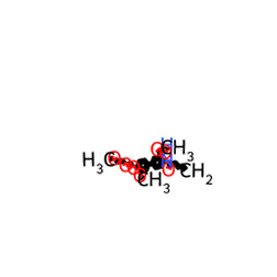 C=CC=CC(=O)Nc1ccc(-c2ccc(OCOCCOC)c(OC)c2)cc1C(=O)OC